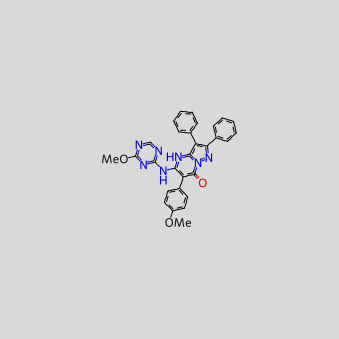 COc1ccc(-c2c(Nc3ncnc(OC)n3)[nH]c3c(-c4ccccc4)c(-c4ccccc4)nn3c2=O)cc1